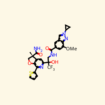 COc1cc(C(=O)NCC(O)(c2cc3c(c(-c4cccs4)n2)OC[C@]3(C)C(N)=O)C(F)(F)F)cc2cn(C3CC3)nc12